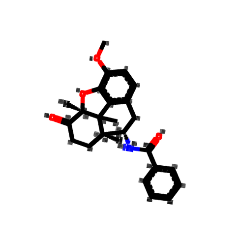 COc1ccc2c3c1O[C@@H]1C(=O)CC[C@H]([C@@H](NC(=O)c4ccccc4)C2)C31C